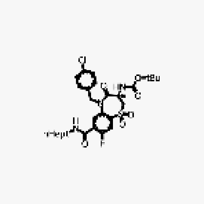 CCCCCCCNC(=O)c1cc2c(cc1F)S(=O)(=O)C[C@H](NC(=O)OC(C)(C)C)C(=O)N2Cc1ccc(Cl)cc1